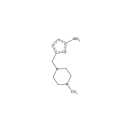 CN1CCN(Cc2ccc([N+](=O)[O-])o2)CC1